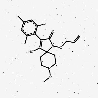 C=CCON1C(=O)C(c2c(C)cc(C)cc2C)=C(O)C12CCN(OC)CC2